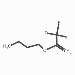 C=C(OCCCC)C(F)(F)F